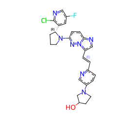 OC1CCN(c2ccc(/C=C/c3cnc4ccc(N5CCC[C@@H]5c5cc(F)cnc5Cl)nn34)nc2)C1